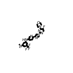 CN(C)c1cc(Nc2ccc(-c3cn(-c4ncc(F)c(N5CCOCC5)n4)cn3)nc2)cc(C(F)(F)F)c1